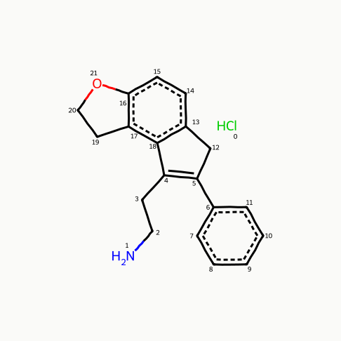 Cl.NCCC1=C(c2ccccc2)Cc2ccc3c(c21)CCO3